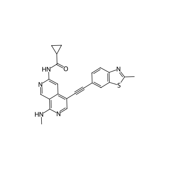 CNc1ncc(C#Cc2ccc3nc(C)sc3c2)c2cc(NC(=O)C3CC3)ncc12